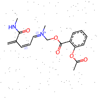 C=C(/C=C\C=[N+](\C)COC(=O)c1ccccc1OC(C)=O)C(=O)NC